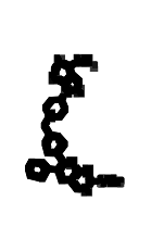 CSc1ncc2cc(-c3ccccc3)c(-c3ccc(CN4CCC(n5ncc6c(N)ncnc65)CC4)cc3)nc2n1